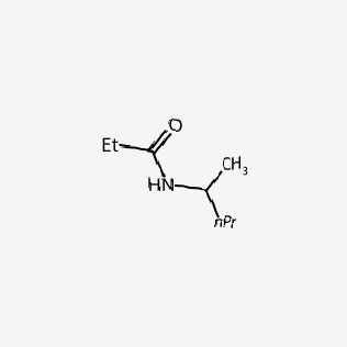 CCCC(C)NC(=O)CC